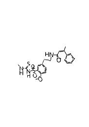 CNC(=S)NS(=O)(=O)c1cc(CCNC(=O)C=C(C)c2ccccc2)ccc1OC